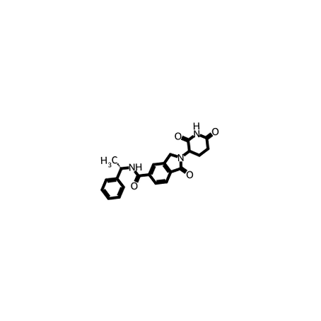 C[C@H](NC(=O)c1ccc2c(c1)CN(C1CCC(=O)NC1=O)C2=O)c1ccccc1